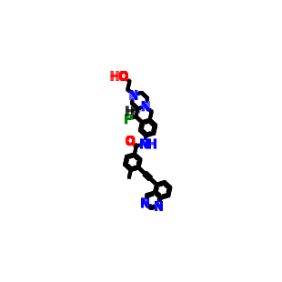 Cc1ccc(C(=O)Nc2ccc3c(c2)C(F)[C@H]2CN(CCO)CCN2C3)cc1C#Cc1cccc2ncncc12